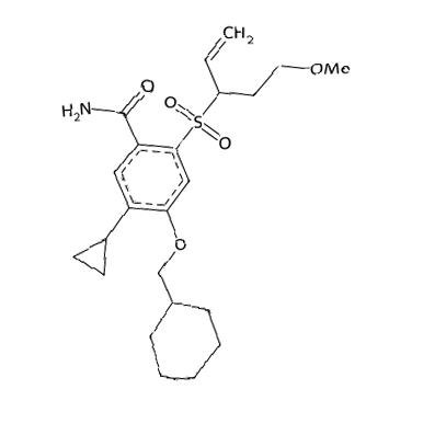 C=CC(CCOC)S(=O)(=O)c1cc(OCC2CCCCC2)c(C2CC2)cc1C(N)=O